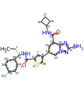 CC[C@H](NC(=O)c1cc(-c2cc(C(=O)NC3CCC3)c3nc(N)nn3c2)cs1)c1ccc(F)cc1